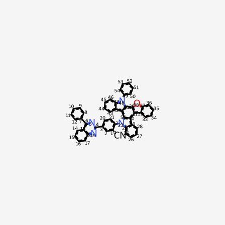 N#Cc1cc(-c2nc(-c3ccccc3)c3ccccc3n2)ccc1-n1c2ccccc2c2c3c4ccccc4oc3c3c(c4ccccc4n3-c3ccccc3)c21